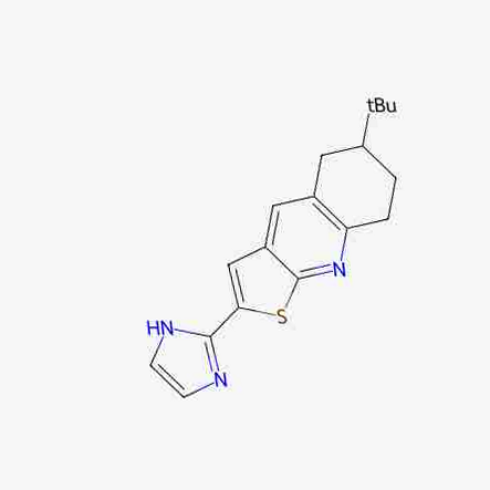 CC(C)(C)C1CCc2nc3sc(-c4ncc[nH]4)cc3cc2C1